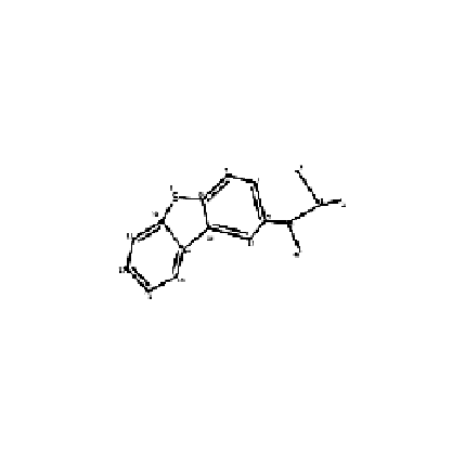 CC(C)C(C)c1ccc2sc3ccccc3c2c1